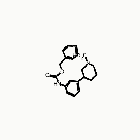 O=C(Nc1cccc(C2CCCN(C(=O)O)C2)c1)OCc1ccccc1